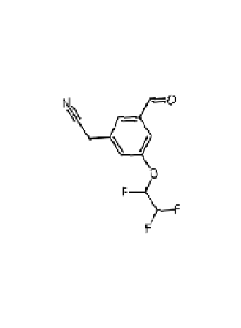 N#CCc1cc(C=O)cc(OC(F)C(F)F)c1